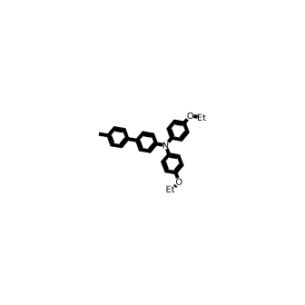 CCOc1ccc(N(c2ccc(OCC)cc2)c2ccc(-c3ccc(C)cc3)cc2)cc1